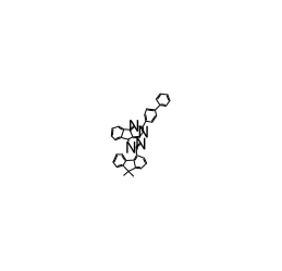 CC1(C)c2ccccc2-c2c(-c3nc4c5c(nc(-c6ccc(-c7ccccc7)cc6)nc5n3)-c3ccccc3-4)cccc21